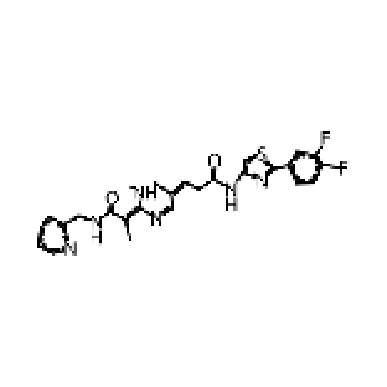 CNC(/N=C\C(C)=C/CC(=O)Nc1csc(-c2ccc(F)c(F)c2)n1)=C(/C)C(=O)NCc1ccccn1